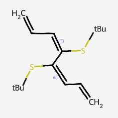 C=C/C=C(SC(C)(C)C)\C(=C/C=C)SC(C)(C)C